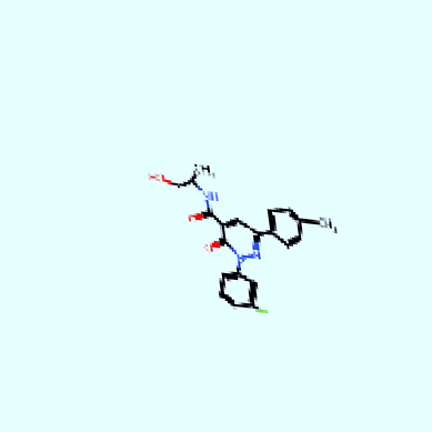 Cc1ccc(-c2cc(C(=O)NC(C)CO)c(=O)n(-c3cccc(F)c3)n2)cc1